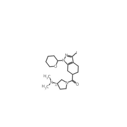 CN(C)[C@@H]1CCN(C(=O)C2CCc3c(I)nn(C4CCCCO4)c3C2)C1